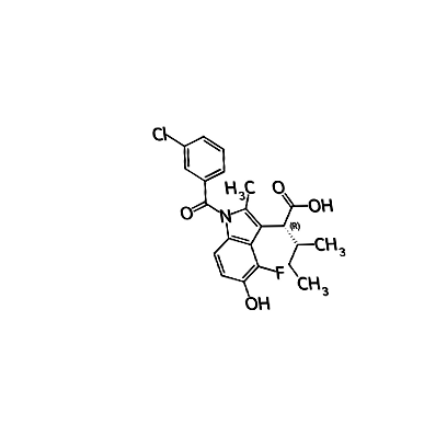 CCC(C)[C@@H](C(=O)O)c1c(C)n(C(=O)c2cccc(Cl)c2)c2ccc(O)c(F)c12